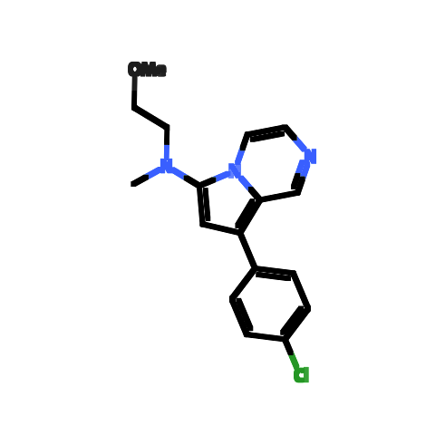 COCCN(C)c1cc(-c2ccc(Cl)cc2)c2cnccn12